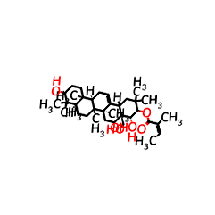 C/C=C(/C)C(=O)O[C@H]1[C@H](O)[C@]2(CO)[C@H](O)C[C@]3(C)C(=CC[C@@H]4[C@@]5(C)CC[C@H](O)C(C)(C)[C@@H]5CC[C@]43C)[C@@H]2CC1(C)C